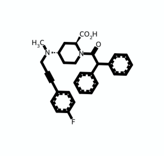 CN(CC#Cc1ccc(F)cc1)[C@H]1CCN(C(=O)C(c2ccccc2)c2ccccc2)[C@H](C(=O)O)C1